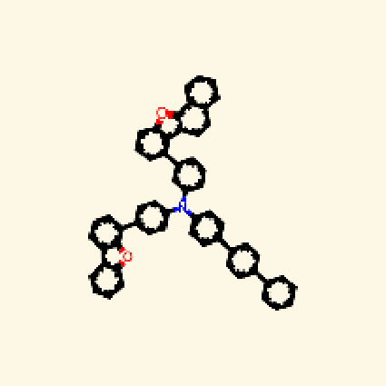 c1ccc(-c2ccc(-c3ccc(N(c4ccc(-c5cccc6c5oc5ccccc56)cc4)c4cccc(-c5cccc6oc7c8ccccc8ccc7c56)c4)cc3)cc2)cc1